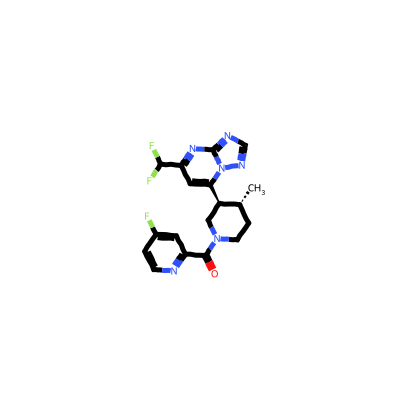 C[C@@H]1CCN(C(=O)c2cc(F)ccn2)C[C@H]1c1cc(C(F)F)nc2ncnn12